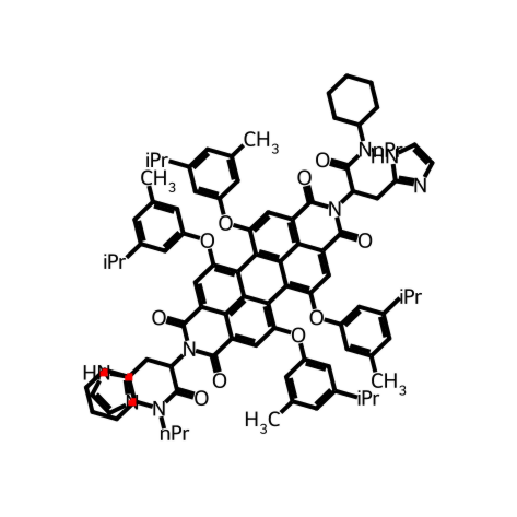 CCCN(C(=O)C(Cc1ncc[nH]1)N1C(=O)c2cc(Oc3cc(C)cc(C(C)C)c3)c3c4c(Oc5cc(C)cc(C(C)C)c5)cc5c6c(cc(Oc7cc(C)cc(C(C)C)c7)c(c7c(Oc8cc(C)cc(C(C)C)c8)cc(c2c37)C1=O)c64)C(=O)N(C(Cc1ncc[nH]1)C(=O)N(CCC)C1CCCCC1)C5=O)C1CCCCC1